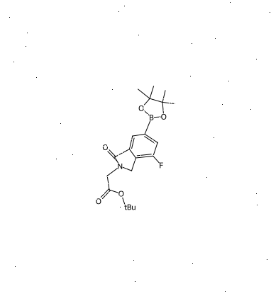 CC(C)(C)OC(=O)CN1Cc2c(F)cc(B3OC(C)(C)C(C)(C)O3)cc2C1=O